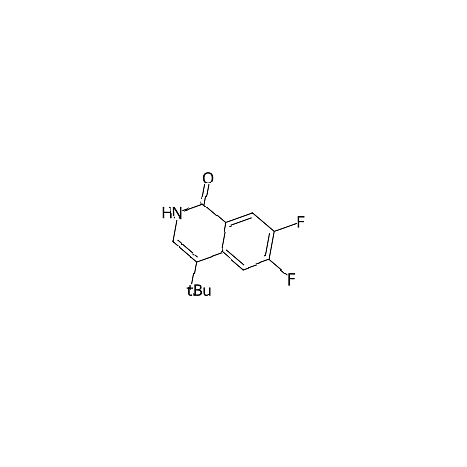 CC(C)(C)c1c[nH]c(=O)c2cc(F)c(F)cc12